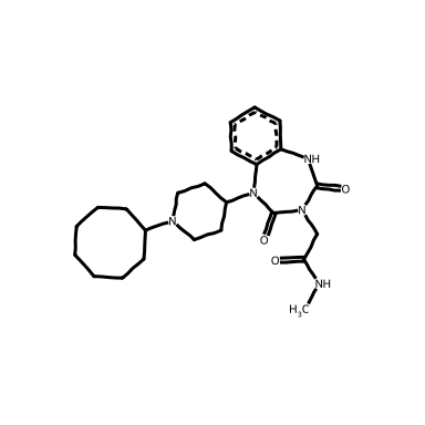 CNC(=O)CN1C(=O)Nc2ccccc2N(C2CCN(C3CCCCCCC3)CC2)C1=O